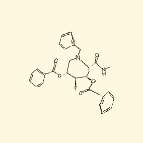 CNC(=O)[C@@H]1[C@@H](OC(=O)c2ccccc2)[C@@H](F)[C@H](OC(=O)c2ccccc2)CN1Cc1ccccc1